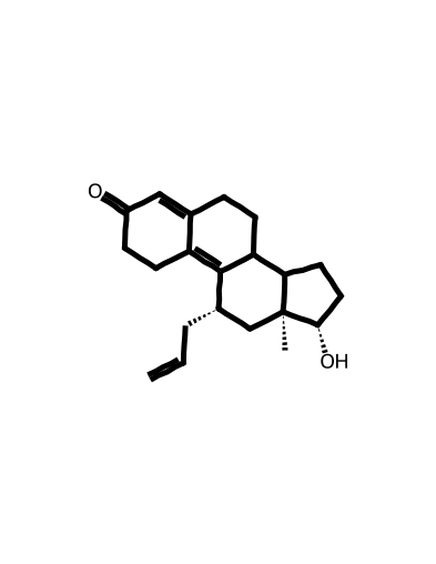 C=CC[C@H]1C[C@@]2(C)C(CC[C@@H]2O)C2CCC3=CC(=O)CCC3=C21